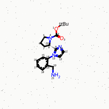 CC(C)(C)OC(=O)N1CCC[C@H]1c1nccn1-c1ccccc1CN